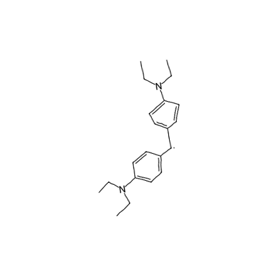 CCN(CC)c1ccc([CH]c2ccc(N(CC)CC)cc2)cc1